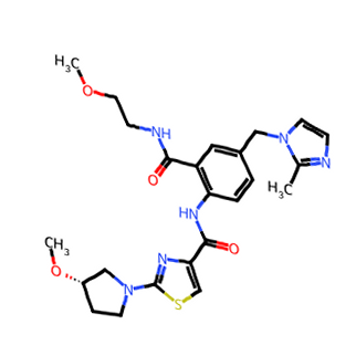 COCCNC(=O)c1cc(Cn2ccnc2C)ccc1NC(=O)c1csc(N2CC[C@H](OC)C2)n1